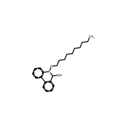 CCCCCCCCCCOP1c2ccccc2-c2ccccc2C1O